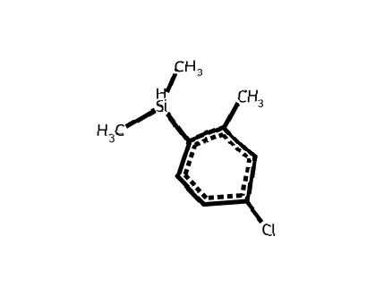 Cc1cc(Cl)ccc1[SiH](C)C